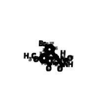 COc1ccc2c(c1)C(=O)N(C[C@@]1(C#Cc3ccc(Br)cc3)NC(=O)NC1=O)C2